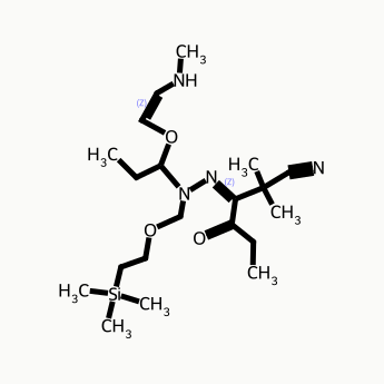 CCC(=O)/C(=N\N(COCC[Si](C)(C)C)C(CC)O/C=C\NC)C(C)(C)C#N